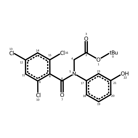 CC(C)(C)OC(=O)CN(C(=O)c1c(Cl)cc(Cl)cc1Cl)c1cccc(O)c1